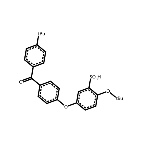 CC(C)(C)Oc1ccc(Oc2ccc(C(=O)c3ccc(C(C)(C)C)cc3)cc2)cc1S(=O)(=O)O